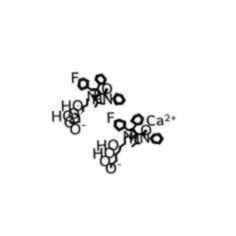 CC(C)c1c(C(=O)Nc2ccccc2)c(-c2ccccc2)c(-c2ccc(F)cc2)n1CC[C@@H](O)C[C@@H](O)CC(=O)[O-].CC(C)c1c(C(=O)Nc2ccccc2)c(-c2ccccc2)c(-c2ccc(F)cc2)n1CC[C@@H](O)C[C@H](CC(=O)[O-])OO.[Ca+2]